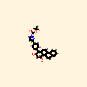 CC(C)(C)OC(=O)n1ccc(-c2ccc(C3C(=O)CC(=O)c4c3ccc3c4ccc4ccccc43)cc2)n1